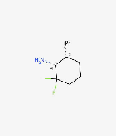 CC(C)[C@@H]1CCCC(F)(F)[C@@H]1N